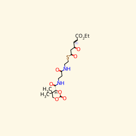 CCOC(=O)/C=C/C(=O)CC(=O)SCCNC(=O)CCNC(=O)[C@@H]1OC(=O)OCC1(C)C